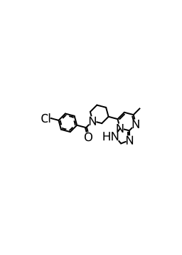 CC1=NC2=NCNN2C(C2CCCN(C(=O)c3ccc(Cl)cc3)C2)=C1